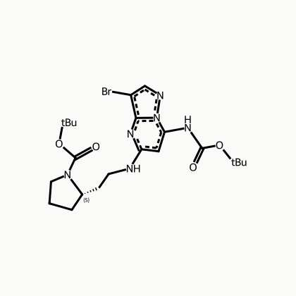 CC(C)(C)OC(=O)Nc1cc(NCC[C@@H]2CCCN2C(=O)OC(C)(C)C)nc2c(Br)cnn12